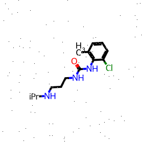 Cc1cccc(Cl)c1NC(=O)NCCCNC(C)C